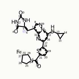 O=C1NC(=O)/C(=C/c2cnn3c(NC4CC4)cc(-c4ccc(C(=O)N5CC[C@H](F)C5)s4)nc23)N1